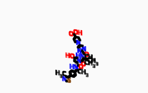 Cc1ncsc1-c1ccc([C@H](C)NC(=O)[C@@H]2C[C@@H](O)CN2C(=O)[C@@H](NC(=O)c2ncc(N3CCC(C(=O)O)CC3)cn2)C(C)(C)C)cc1